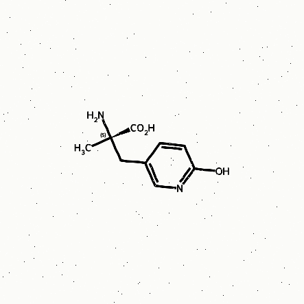 C[C@](N)(Cc1ccc(O)nc1)C(=O)O